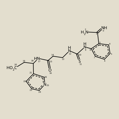 N=C(N)c1ccccc1NC(=S)NCCC(=O)NC(CC(=O)O)c1cccnc1